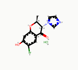 C[C@@H]1Oc2cc(O)c(Br)cc2C(=O)[C@H]1n1ccnc1.Cl